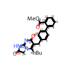 CCCCc1c(Cc2ccc(-c3ccccc3C(=O)OC)cc2)c(=O)nc2n1CC(=O)N2